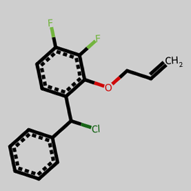 C=CCOc1c(C(Cl)c2ccccc2)ccc(F)c1F